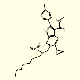 CC[CH]CCCCN(Cc1nc2oc(-c3ccc(C)cc3)c(C(=O)NC)c2cc1C1CC1)[SH](=O)=O